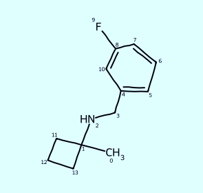 CC1(NCc2cccc(F)c2)CCC1